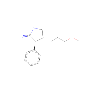 COCCC[C@H]1CNC(=N)[C@@H]1c1ccccc1.Cl